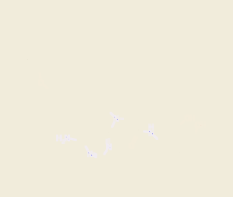 CCC(CO)(CO)CNC(=O)C(C)n1cc(-c2ccc(Oc3ccccc3)cc2)c2c(N)ncnc21